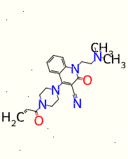 C=CC(=O)N1CCN(c2c(C#N)c(=O)n(CCN(C)C)c3ccccc23)CC1